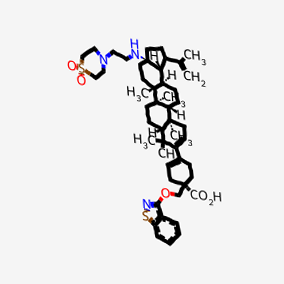 C=C(C)C1CC[C@]2(NCCN3CCS(=O)(=O)CC3)CC[C@]3(C)[C@H](CC[C@@H]4[C@@]5(C)CC=C(C6=CCC(COc7nsc8ccccc78)(C(=O)O)CC6)C(C)(C)[C@@H]5CC[C@]43C)[C@@H]12